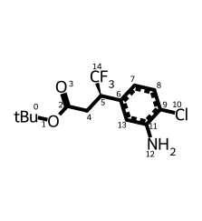 CC(C)(C)OC(=O)C[C@H](c1ccc(Cl)c(N)c1)C(F)(F)F